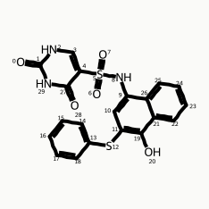 O=c1[nH]cc(S(=O)(=O)Nc2cc(Sc3ccccc3)c(O)c3ccccc23)c(=O)[nH]1